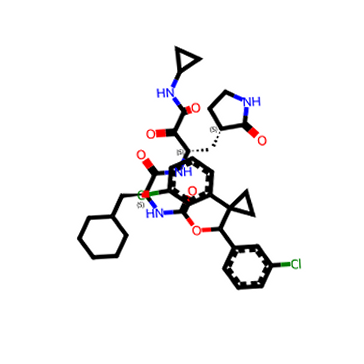 O=C(N[C@@H](CC1CCCCC1)C(=O)N[C@@H](C[C@@H]1CCNC1=O)C(=O)C(=O)NC1CC1)OC(c1cccc(Cl)c1)C1(c2cccc(Cl)c2)CC1